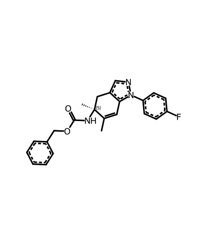 CC1=Cc2c(cnn2-c2ccc(F)cc2)C[C@]1(C)NC(=O)OCc1ccccc1